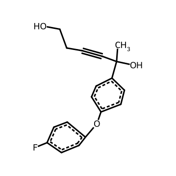 CC(O)(C#CCCO)c1ccc(Oc2ccc(F)cc2)cc1